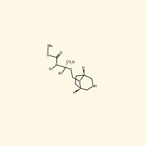 CCN(C(=O)OC(C)(C)C)[C@](OCN1[C@@H]2CC[C@H]1CNC2)(C(=O)O)C(C)C